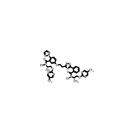 CCN(C(=O)c1ccccc1-c1nc(CCOc2ccc(-n3nccn3)c(C(=O)N(CC)[C@@H](C)COc3ncc(C(F)(F)F)cn3)c2)no1)[C@@H](C)COc1ncc(C(F)(F)F)cn1